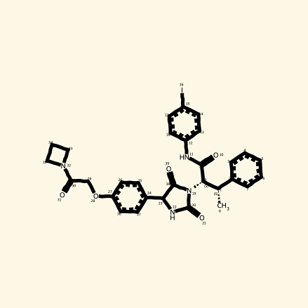 C[C@@H](c1ccccc1)[C@@H](C(=O)Nc1ccc(I)cc1)N1C(=O)NC(c2ccc(OCC(=O)N3CCC3)cc2)C1=O